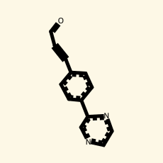 O=CC#Cc1ccc(-c2cnccn2)cc1